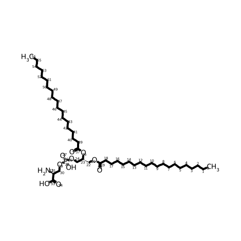 CCCCCCCCCCCCCCCCCCCC(=O)OC[C@H](COP(=O)(O)OC[C@H](N)C(=O)O)OC(=O)CCCCCCCCCCCCCCCCCC